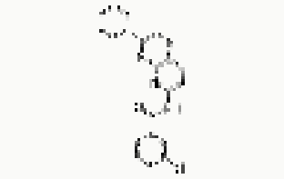 O=C(Nc1ccc2ccc(-c3ccccc3)nc2n1)c1cccc(Cl)c1